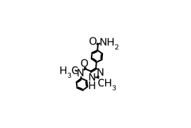 Cc1nc(-c2ccc(C(N)=O)cc2)c(C(=O)N(C)c2ccccc2)[nH]1